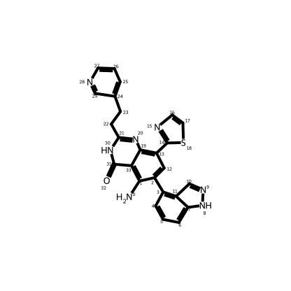 Nc1c(-c2cccc3[nH]ncc23)cc(-c2nccs2)c2nc(CCc3cccnc3)[nH]c(=O)c12